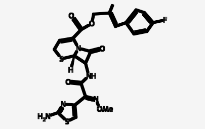 CON=C(C(=O)NC1C(=O)N2C(C(=O)OCC(C)=Cc3ccc(F)cc3)=CCS[C@@H]12)c1csc(N)n1